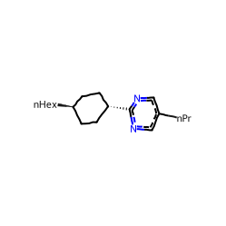 CCCCCC[C@H]1CC[C@H](c2ncc(CCC)cn2)CC1